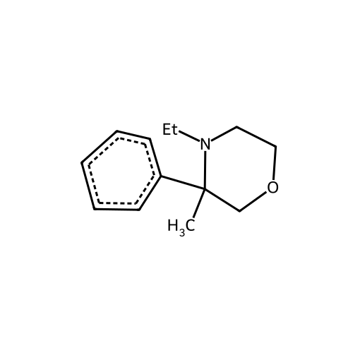 CCN1CCOCC1(C)c1ccccc1